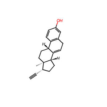 C#C[C@H]1CC[C@H]2C3=CCc4cc(O)ccc4[C@H]3CC[C@]12C